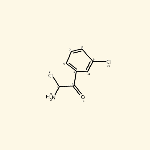 NC(Cl)C(=O)c1cccc(Cl)c1